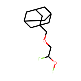 FOC(F)COCC12CC3CC(CC(C3)C1)C2